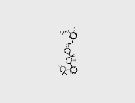 C[C@@H]1CN(c2ncccc2C(=O)NS(=O)(=O)N2CC[C@@H](NCc3ccc(F)c(OC(F)(F)F)c3)C2)C(C)(C)C1